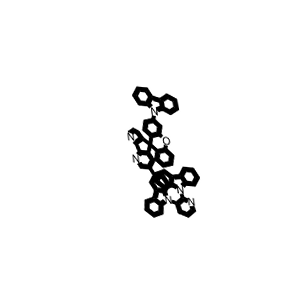 c1ccc2c(c1)Oc1cc(-n3c4ccccc4c4ccccc43)ccc1C21c2cccnc2-c2ncc(-c3ccc4c(c3)c3ccccc3n4-c3cccnc3-n3c4ccccc4c4ccccc43)cc21